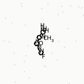 [2H]C1([2H])Cc2c(c3ccc(-n4cccc(OCc5ccc(F)cn5)c4=O)cc3n2C)CN1